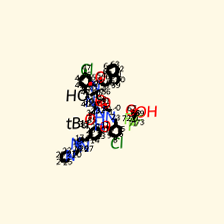 C[C@H](NCc1ccc(Cl)cc1Oc1ccc(-c2cnc(CN3CCCC3)n2C)cc1)C(=O)N[C@@H](COC(C)(C)C)C(=O)N(C)[C@H](Cc1ccc(Cl)cc1)CN(C)C(=O)[C@@H](CC(=O)O)[C@H]1CCc2ccccc21.O=C(O)C(F)(F)F